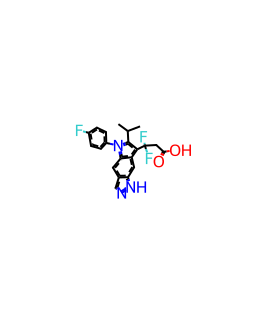 CC(C)c1c(C(F)(F)CC(=O)O)c2cc3[nH]ncc3cc2n1-c1ccc(F)cc1